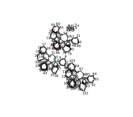 [Na+].[Ni+2].[O-]C1(c2ccccc2)CCC(c2ccccc2)C(c2ccccc2)(c2ccccc2)C1(c1ccccc1)c1ccccc1.[O-]C1(c2ccccc2)CCC(c2ccccc2)C(c2ccccc2)(c2ccccc2)C1(c1ccccc1)c1ccccc1.[O-]C1(c2ccccc2)CCC(c2ccccc2)C(c2ccccc2)(c2ccccc2)C1(c1ccccc1)c1ccccc1